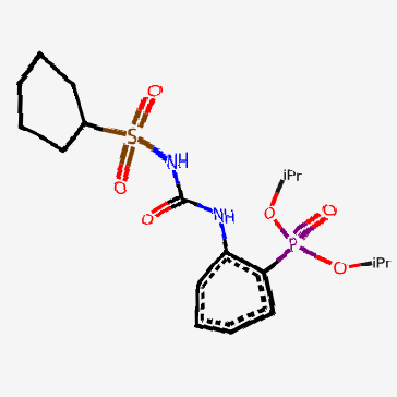 CC(C)OP(=O)(OC(C)C)c1ccccc1NC(=O)NS(=O)(=O)C1CCCCC1